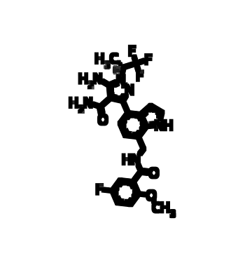 COc1ccc(F)cc1C(=O)NCc1ccc(-c2nn([C@H](C)C(F)(F)F)c(N)c2C(N)=O)c2cc[nH]c12